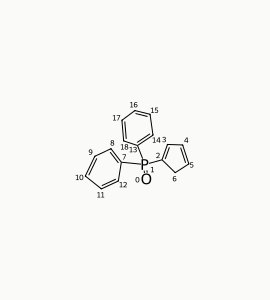 O=P(C1=CC=CC1)(c1ccccc1)c1ccccc1